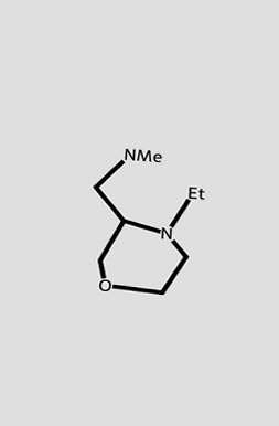 CCN1CCOCC1CNC